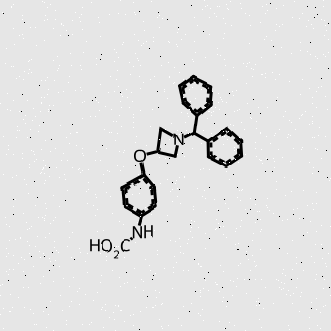 O=C(O)Nc1ccc(OC2CN(C(c3ccccc3)c3ccccc3)C2)cc1